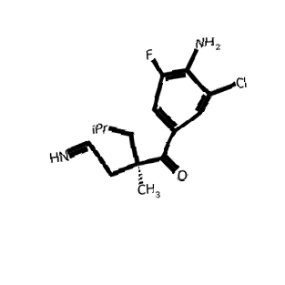 CC(C)C[C@](C)(CC=N)C(=O)c1cc(F)c(N)c(Cl)c1